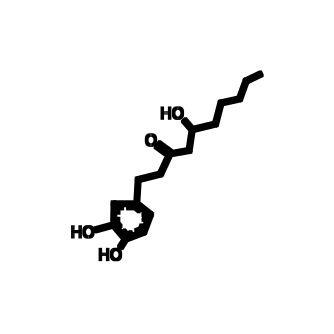 CCCCCC(O)CC(=O)CCc1ccc(O)c(O)c1